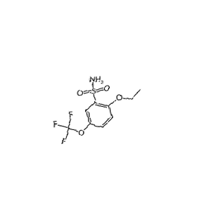 CCOc1ccc(OC(F)(F)F)cc1S(N)(=O)=O